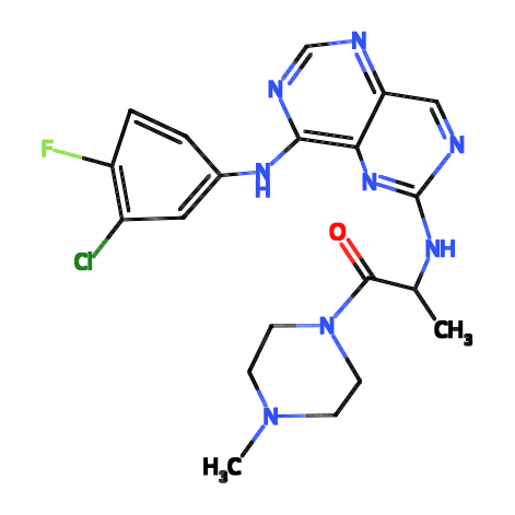 CC(Nc1ncc2ncnc(Nc3ccc(F)c(Cl)c3)c2n1)C(=O)N1CCN(C)CC1